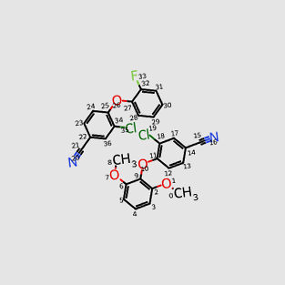 COc1cccc(OC)c1Oc1ccc(C#N)cc1Cl.N#Cc1ccc(Oc2ccccc2F)c(Cl)c1